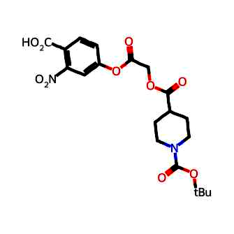 CC(C)(C)OC(=O)N1CCC(C(=O)OCC(=O)Oc2ccc(C(=O)O)c([N+](=O)[O-])c2)CC1